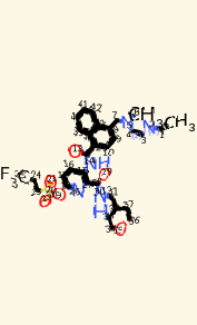 C/C=N/C=C\N(C)Cc1ccc(C(=O)Nc2ccc(OS(=O)(=O)CCC(F)(F)F)nc2C(=O)NCC2CCOCC2)c2ccccc12